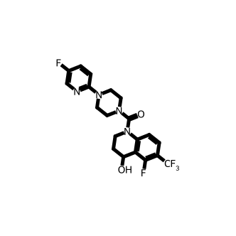 O=C(N1CCN(c2ccc(F)cn2)CC1)N1CCC(O)c2c1ccc(C(F)(F)F)c2F